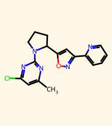 Cc1cc(Cl)nc(N2CCCC2c2cc(-c3ccccn3)no2)n1